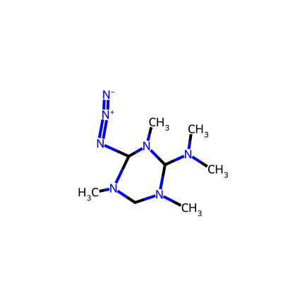 CN(C)C1N(C)CN(C)C(N=[N+]=[N-])N1C